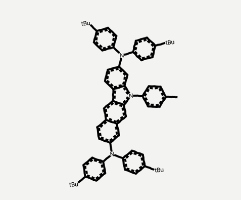 Cc1ccc(-n2c3cc(N(c4ccc(C(C)(C)C)cc4)c4ccc(C(C)(C)C)cc4)ccc3c3cc4ccc(N(c5ccc(C(C)(C)C)cc5)c5ccc(C(C)(C)C)cc5)cc4cc32)cc1